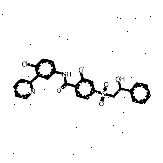 O=C(Nc1ccc(Cl)c(-c2ccccn2)c1)c1ccc(S(=O)(=O)CC(O)c2ccccc2)cc1Cl